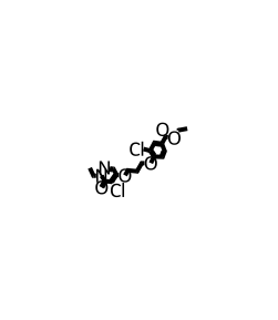 CCOC(=O)c1ccc(OCCCOc2cnn(CC)c(=O)c2Cl)c(Cl)c1